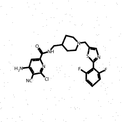 N#Cc1c(N)cc(C(=O)NCC2CCN(Cc3cnc(-c4c(F)cccc4F)s3)CC2)nc1Cl